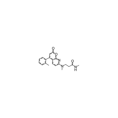 CNC(=O)CCN(C)c1ccc2c(-c3ccccc3C)cc(=O)oc2n1